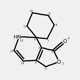 O=C1OCC2=C1C1(CC[CH]CC1)NC=C2